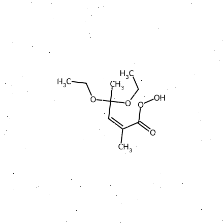 CCOC(C)(C=C(C)C(=O)OO)OCC